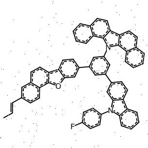 C/C=C/c1ccc2c(ccc3c4ccc(-c5cc(-c6ccc7c8ccccc8n(-c8ccc(F)cc8)c7c6)cc(-n6c7c8ccccc8ccc7c7ccc8ccccc8c76)c5)cc4oc23)c1